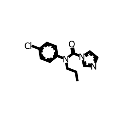 CCCN(C(=O)n1ccnc1)c1ccc(Cl)cc1